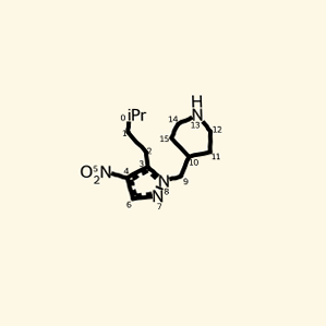 CC(C)CCc1c([N+](=O)[O-])cnn1CC1CCNCC1